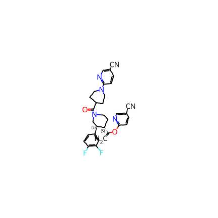 C=C(Oc1ccc(C#N)cn1)[C@H]1CCN(C(=O)C2CCN(c3ccc(C#N)cn3)CC2)C[C@@H]1c1ccc(F)c(F)c1